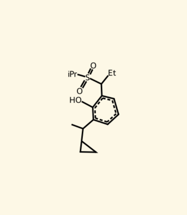 CCC(c1cccc(C(C)C2CC2)c1O)S(=O)(=O)C(C)C